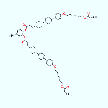 C=CC(=O)OCCCCCCOc1ccc(-c2ccc(C3CCC(CCC(=O)Oc4ccc(CCC)cc4OC(=O)CCC4CCC(c5ccc(-c6ccc(OCCCCCCOC(=O)C=C)cc6)cc5)CC4)CC3)cc2)cc1